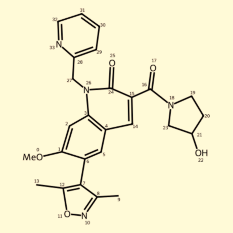 COc1cc2c(cc1-c1c(C)noc1C)cc(C(=O)N1CCC(O)C1)c(=O)n2Cc1ccccn1